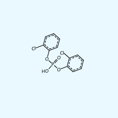 O=P(O)(Oc1ccccc1Cl)Oc1ccccc1Cl